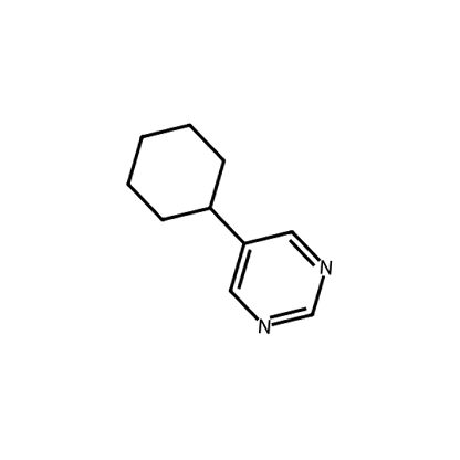 c1ncc(C2CCCCC2)cn1